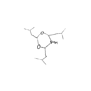 CC(C)CC1OC(CC(C)C)PC(CC(C)C)O1